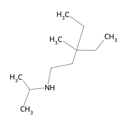 CCC(C)(CC)CCNC(C)C